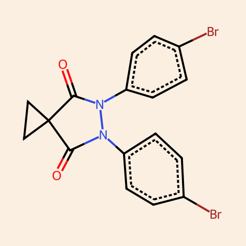 O=C1N(c2ccc(Br)cc2)N(c2ccc(Br)cc2)C(=O)C12CC2